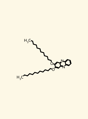 CCCCCCCCCCCCOc1cc2nc3ccccc3nc2cc1OCCCCCCCCCCCC